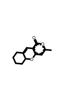 Cc1cc2c(c(=O)o1)C=C1CCCCC1O2